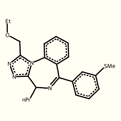 CCCC1N=C(c2cccc(SC)c2)c2ccccc2-n2c(COCC)nnc21